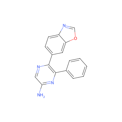 Nc1cnc(-c2ccc3ncoc3c2)c(-c2ccccc2)n1